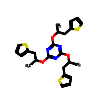 CC(Cc1cccs1)Oc1nc(OC(C)Cc2cccs2)nc(OC(C)Cc2cccs2)n1